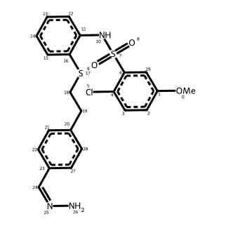 COc1ccc(Cl)c(S(=O)(=O)Nc2ccccc2SCCc2ccc(/C=N\N)cc2)c1